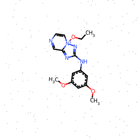 CCO[N+]12C=CN=CC1=NC(Nc1cc(OC)cc(OC)c1)=N2